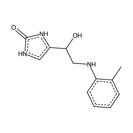 Cc1ccccc1NCC(O)c1c[nH]c(=O)[nH]1